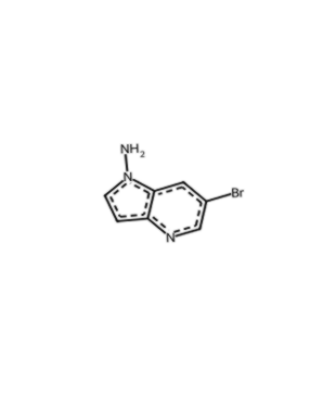 Nn1ccc2ncc(Br)cc21